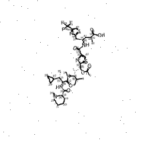 CC(=O)O[C@H](C[C@H](C(C)C)N(C)C(=O)[C@@H](NC(=O)[C@H]1CCCCN1C)[C@@H](C)C1CC1)c1nc(C(=O)N[C@@H](Cc2nc(C(F)(F)F)cs2)C[C@H](C)C(=O)O)cs1